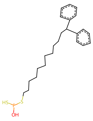 OP(S)SCCCCCCCCCCCC(c1ccccc1)c1ccccc1